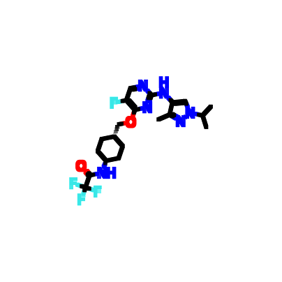 Cc1nn(C(C)C)cc1Nc1ncc(F)c(OC[C@H]2CC[C@H](NC(=O)C(F)(F)F)CC2)n1